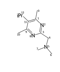 Cc1nc(CN(C)C)nc(C)c1C(C)C